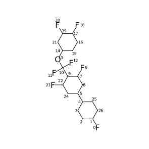 FC1CCC(C2CC(F)C(C(F)(F)OC3CCC(F)C(F)C3)C(F)C2)CC1